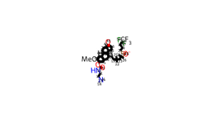 COc1cc2c(cc1OC(=O)NCCN(C)C)C[C@@H](CCC(C)(C)CC(C)(C)[S+]([O-])CCCC(F)(F)C(F)(F)F)[C@@H]1[C@@H]2CC[C@]2(C)C(=O)CC[C@@H]12